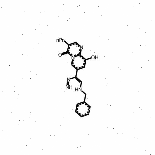 CCCc1cnc2c(O)cc(/C(=C/NCc3ccccc3)N=N)cn2c1=O